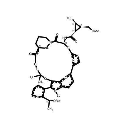 CCn1c(-c2cccnc2[C@H](C)OC)c2c3cc(ccc31)-c1csc(n1)C[C@H](NC(=O)[C@@H]1[C@@H](C)[C@H]1COC)C(=O)N1CCC[C@H](N1)C(=O)OCC(C)(C)C2